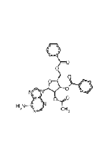 CC(=O)OC1C(OC(=O)c2ccccc2)[C@H](COC(=O)c2ccccc2)O[C@@H]1n1cnc2c(N)ncnc21